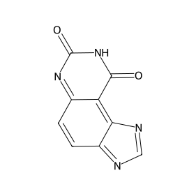 O=C1N=c2ccc3c(c2C(=O)N1)N=CN=3